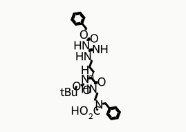 CC(C)(C)OC(=O)N[C@@H](CCCNC(=N)NC(=O)OCc1ccccc1)C(=O)NCCN(Cc1ccccc1)C(=O)O